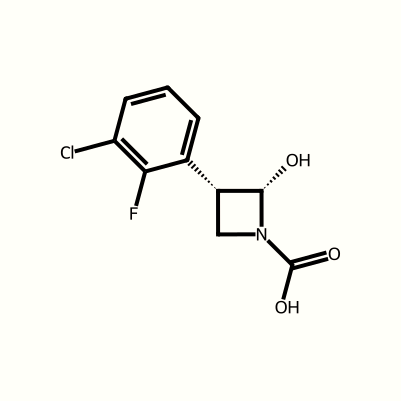 O=C(O)N1C[C@H](c2cccc(Cl)c2F)[C@@H]1O